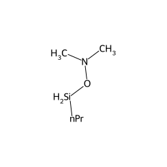 CCC[SiH2]ON(C)C